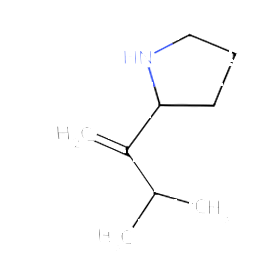 C=C(C(C)C)C1CCCN1